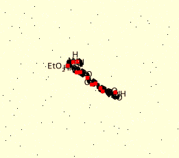 CCOC(=O)c1c(C)nc(Nc2cnn(C)c2)nc1NC1CCC(N2CCN(C(=O)CCC(=O)N3CCC(CCN4CCN(c5ccc(C6CCC(=O)NC6=O)cc5)CC4)CC3)CC2)CC1